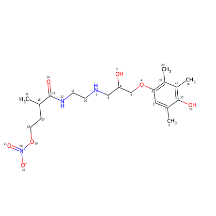 Cc1cc(OCC(O)CNCCNC(=O)C(C)CCO[N+](=O)[O-])c(C)c(C)c1O